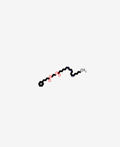 CCCCC/C=C\C/C=C\C/C=C\CCCCC(=O)OCCCOC(=O)CCCc1ccccc1